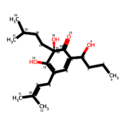 CCCC(O)C1=CC(CC=C(C)C)=C(O)[C@](O)(CCC(C)C)C1=O